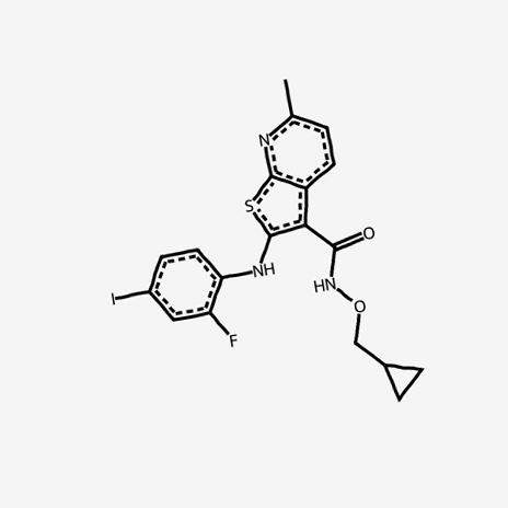 Cc1ccc2c(C(=O)NOCC3CC3)c(Nc3ccc(I)cc3F)sc2n1